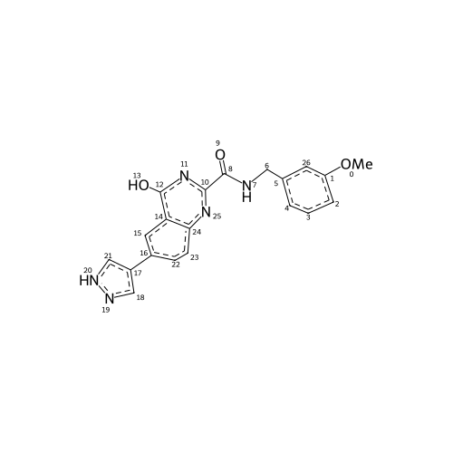 COc1cccc(CNC(=O)c2nc(O)c3cc(-c4cn[nH]c4)ccc3n2)c1